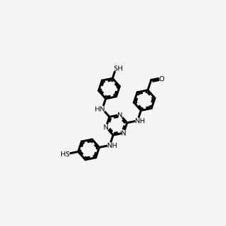 O=Cc1ccc(Nc2nc(Nc3ccc(S)cc3)nc(Nc3ccc(S)cc3)n2)cc1